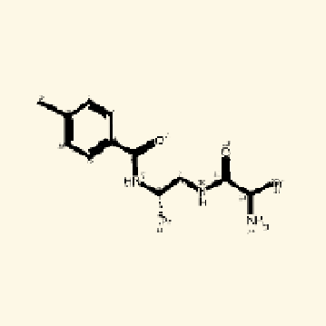 Cc1ccc(C(=O)N[C@H](CNC(=O)C(N)C(C)C)C(C)C)cc1